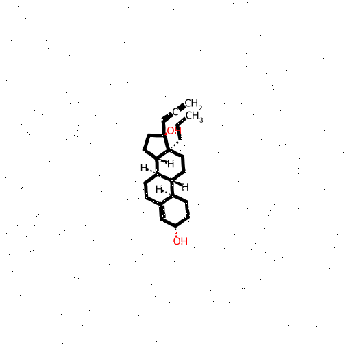 C=C=C[C@]1(O)CC[C@H]2[C@@H]3CCC4=C[C@@H](O)CC[C@@H]4[C@H]3CC[C@@]21CCC